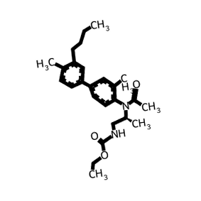 CCCCc1cc(-c2ccc(N(C(C)=O)[C@@H](C)CNC(=O)OCC)c(C)c2)ccc1C